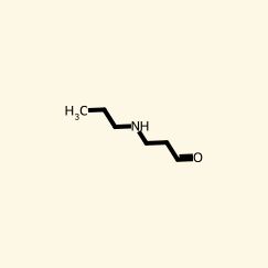 CCCNCCC=O